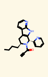 C#CC(=O)N1[C@@H](CCCC)Cc2c([nH]c3ncccc23)[C@@H]1c1ccccn1